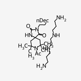 CCCCCCCCCCCCN1C(=O)NC2(CC(C)(C)N(C(C)=O)C(C)(C)C2)C1=O.NCCCNCCNCCCN